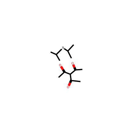 CC(=O)C(C(C)=O)C(C)=O.C[CH](C)[Ti][CH](C)C